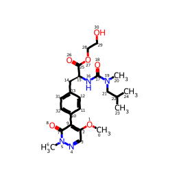 COc1cnn(C)c(=O)c1-c1ccc(C[C@H](NC(=O)N(C)CC(C)C)C(=O)OCCO)cc1